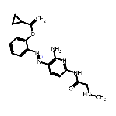 C=C(Oc1ccccc1/N=N/c1ccc(NC(=O)CNC)nc1N)C1CC1